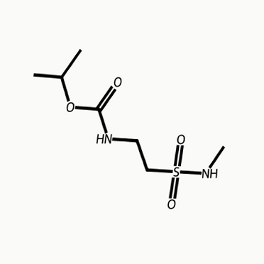 CNS(=O)(=O)CCNC(=O)OC(C)C